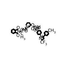 Cc1ccc(-c2cc(C(F)(F)F)nn2-c2ccc(S(=O)(=O)NC(=O)OC3CCCN(n4on4OC(C)N4C(=O)c5ccccc5C4=O)C3)cc2)cc1